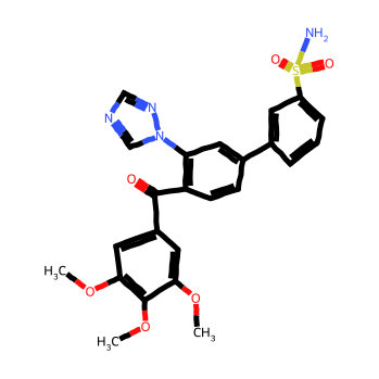 COc1cc(C(=O)c2ccc(-c3cccc(S(N)(=O)=O)c3)cc2-n2cncn2)cc(OC)c1OC